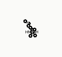 N=C(c1ccccc1)N(C(=N)n1c2ccccc2c2cc3c(ccc4c3ccn4-c3ccccc3)cc21)c1ccccc1